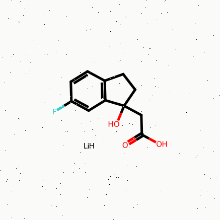 O=C(O)CC1(O)CCc2ccc(F)cc21.[LiH]